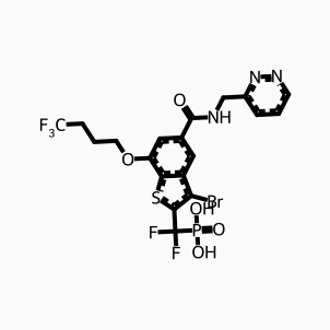 O=C(NCc1cccnn1)c1cc(OCCCC(F)(F)F)c2sc(C(F)(F)P(=O)(O)O)c(Br)c2c1